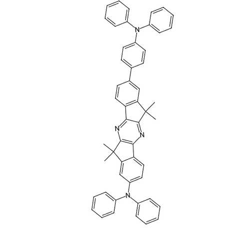 CC1(C)c2cc(-c3ccc(N(c4ccccc4)c4ccccc4)cc3)ccc2-c2nc3c(nc21)-c1ccc(N(c2ccccc2)c2ccccc2)cc1C3(C)C